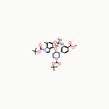 [2H]C([2H])([2H])Oc1cc(C)c2c(ccn2C(=O)OC(C)(C)C)c1O[C@@H]1CCN(C(=O)OC(C)(C)C)C[C@H]1c1ccc(C(=O)OC)cc1